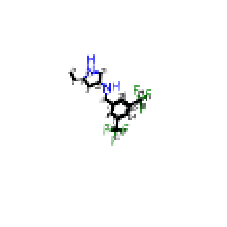 CC[C@@H]1C[C@H](NCc2cc(C(F)(F)F)cc(C(F)(F)F)c2)CN1